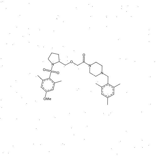 COc1cc(C)c(S(=O)(=O)N2CCCC2COCC(=O)N2CCN(Cc3c(C)cc(C)cc3C)CC2)c(C)c1